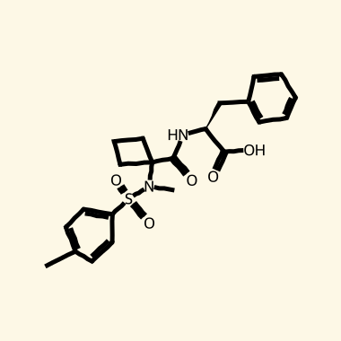 Cc1ccc(S(=O)(=O)N(C)C2(C(=O)N[C@@H](Cc3ccccc3)C(=O)O)CCC2)cc1